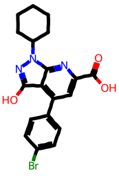 O=C(O)c1cc(-c2ccc(Br)cc2)c2c(O)nn(C3CCCCC3)c2n1